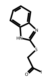 O=C(I)CSc1nc2ccccc2[nH]1